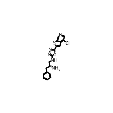 N[C@@H](CNc1nnc(-c2cc3c(Cl)cncc3s2)s1)Cc1ccccc1